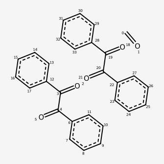 C=O.O=C(C(=O)c1ccccc1)c1ccccc1.O=C(C(=O)c1ccccc1)c1ccccc1